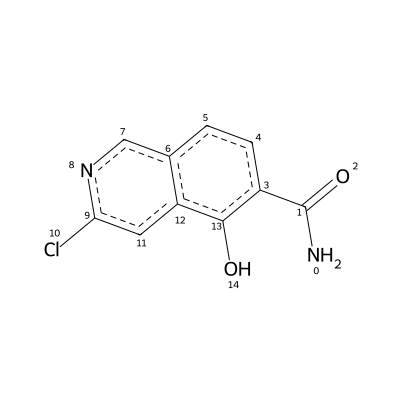 NC(=O)c1ccc2cnc(Cl)cc2c1O